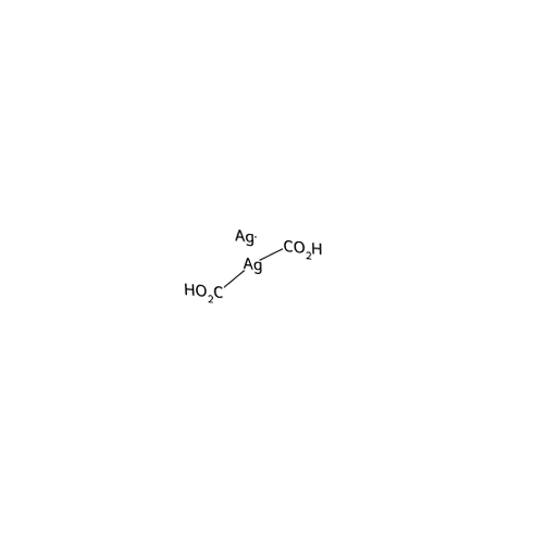 O=[C](O)[Ag][C](=O)O.[Ag]